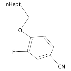 CCCCCCCCOc1ccc(C#N)cc1F